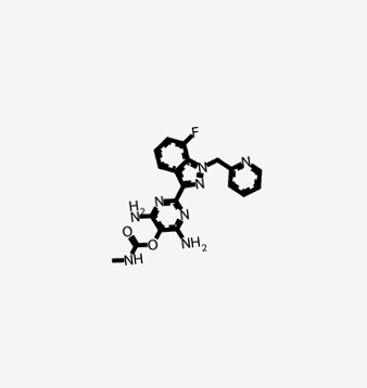 CNC(=O)Oc1c(N)nc(-c2nn(Cc3ccccn3)c3c(F)cccc23)nc1N